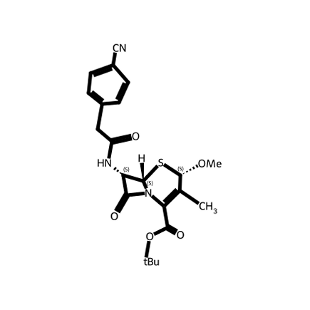 CO[C@H]1S[C@H]2[C@@H](NC(=O)Cc3ccc(C#N)cc3)C(=O)N2C(C(=O)OC(C)(C)C)=C1C